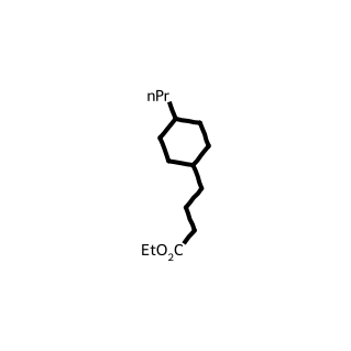 CCCC1CCC(CCCC(=O)OCC)CC1